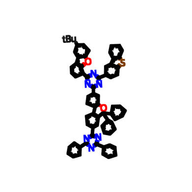 CC(C)(C)c1ccc2oc3c(-c4nc(-c5ccc6c(c5)OC(c5ccccc5)(c5ccccc5)c5cc(-c7nc(-c8ccccc8)nc(-c8ccccc8)n7)ccc5-6)nc(-c5ccc6sc7ccccc7c6c5)n4)cccc3c2c1